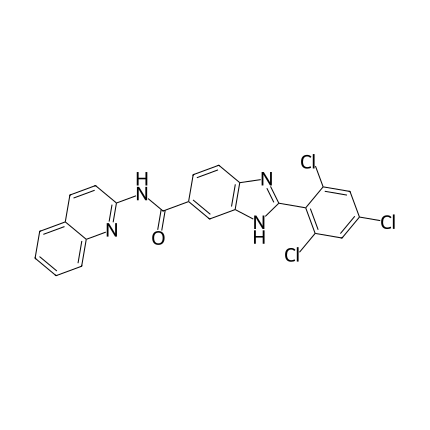 O=C(Nc1ccc2ccccc2n1)c1ccc2nc(-c3c(Cl)cc(Cl)cc3Cl)[nH]c2c1